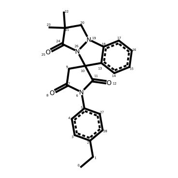 CCc1ccc(N2C(=O)CC3(C2=O)c2ccccc2N2CC(C)(C)C(=O)N23)cc1